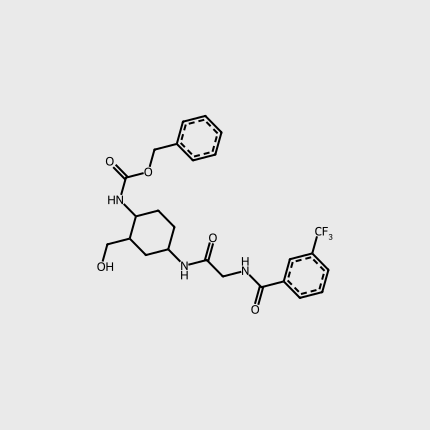 O=C(CNC(=O)c1cccc(C(F)(F)F)c1)NC1CCC(NC(=O)OCc2ccccc2)C(CO)C1